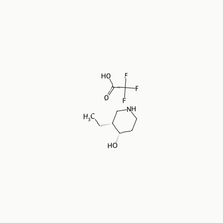 CC[C@@H]1CNCC[C@@H]1O.O=C(O)C(F)(F)F